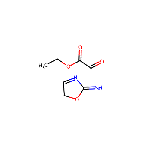 CCOC(=O)C=O.N=C1N=CCO1